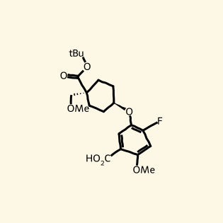 COC[C@]1(C(=O)OC(C)(C)C)CC[C@@H](Oc2cc(C(=O)O)c(OC)cc2F)CC1